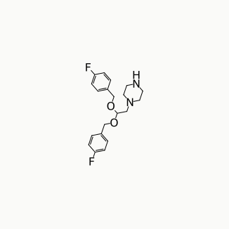 Fc1ccc(COC(CN2CCNCC2)OCc2ccc(F)cc2)cc1